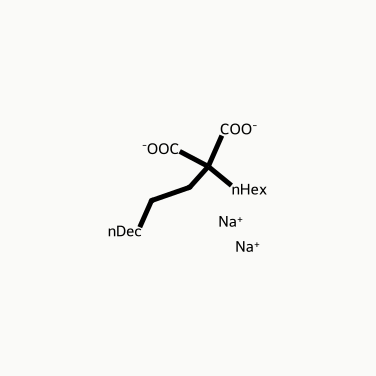 CCCCCCCCCCCCC(CCCCCC)(C(=O)[O-])C(=O)[O-].[Na+].[Na+]